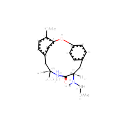 CCOC(=O)[C@@H]1Cc2ccc(OC)c(c2)Oc2ccc(cc2)C[C@H](N(C)BOC)C(=O)N1